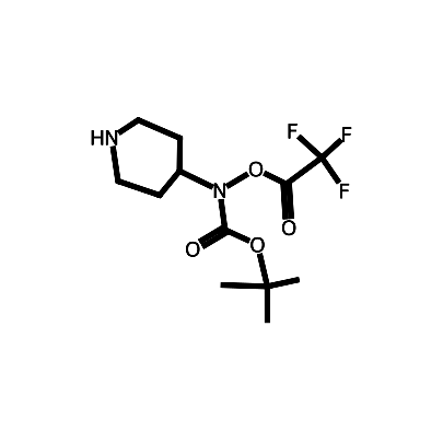 CC(C)(C)OC(=O)N(OC(=O)C(F)(F)F)C1CCNCC1